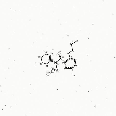 CCCCc1ccccc1C(=O)N(N=C=O)C1=CCCCC1